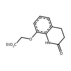 CCOC(=O)COc1cccc2c1NC(=O)CC2